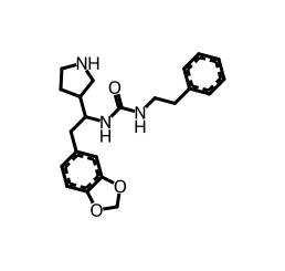 O=C(NCCc1ccccc1)NC(Cc1ccc2c(c1)OCO2)C1CCNC1